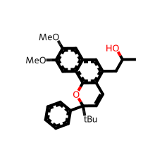 COc1cc2cc(CC(C)O)c3c(c2cc1OC)OC(c1ccccc1)(C(C)(C)C)C=C3